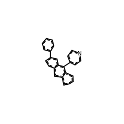 c1ccc(-c2ccc3cc4ccccc4c(-c4ccncc4)c3c2)cc1